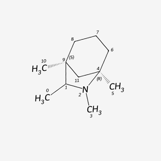 CC1N(C)[C@]2(C)CCC[C@@]1(C)C2